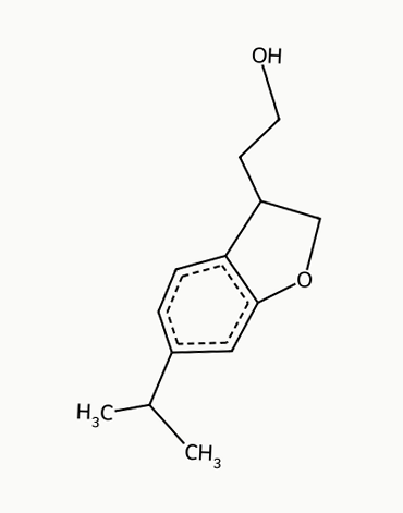 CC(C)c1ccc2c(c1)OCC2CCO